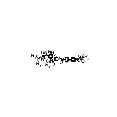 CCN(C(=O)[C@@H]1CCN(CC(=O)N2CC=C(c3ccc(-c4nn(C)c(=O)o4)cc3)CC2)C1)c1ccc(N)c(C(=N)c2cnn(C(C)C)c2)c1